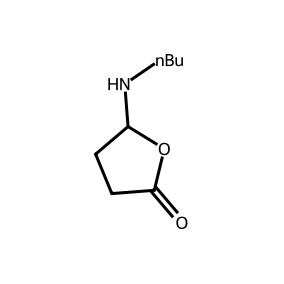 CCCCNC1CCC(=O)O1